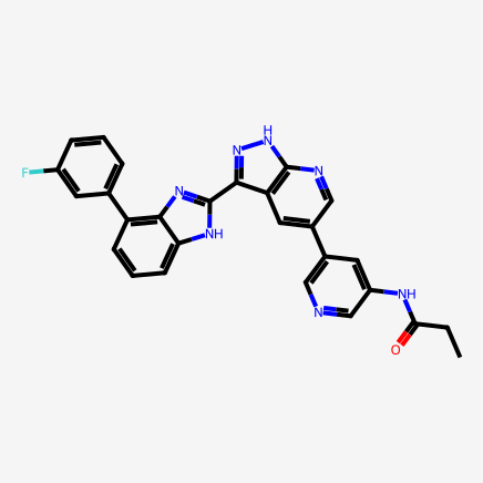 CCC(=O)Nc1cncc(-c2cnc3[nH]nc(-c4nc5c(-c6cccc(F)c6)cccc5[nH]4)c3c2)c1